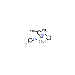 COc1cc(C)c2c(c1)c(C(NCc1cccc(C(F)(F)F)c1)C(=O)O)cn2Cc1ccccc1